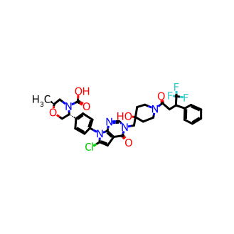 C[C@H]1CN(C(=O)O)[C@H](c2ccc(-n3c(Cl)cc4c(=O)n(CC5(O)CCN(C(=O)CC(c6ccccc6)C(F)(F)F)CC5)cnc43)cc2)CO1